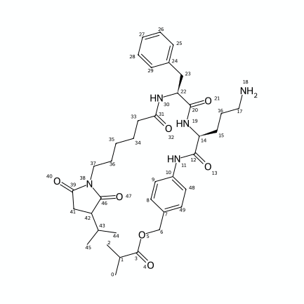 CC(C)C(=O)OCc1ccc(NC(=O)[C@H](CCCN)NC(=O)[C@H](Cc2ccccc2)NC(=O)CCCCCN2C(=O)CC(C(C)C)C2=O)cc1